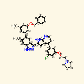 Cc1cc(OCc2ccccc2)cc(-c2cc3c(-c4cc5c(-c6cc(F)cc(OCCN7CCCC7)c6)ccnc5[nH]4)n[nH]c3cc2C)c1